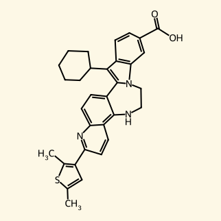 Cc1cc(-c2ccc3c4c(ccc3n2)-c2c(C3CCCCC3)c3ccc(C(=O)O)cc3n2CCN4)c(C)s1